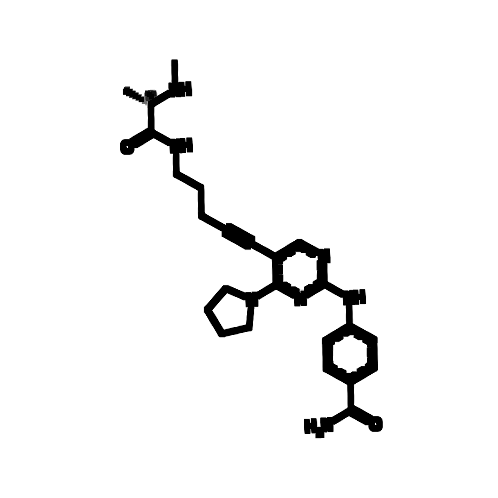 CN[C@@H](C)C(=O)NCCCC#Cc1cnc(Nc2ccc(C(N)=O)cc2)nc1N1CCCC1